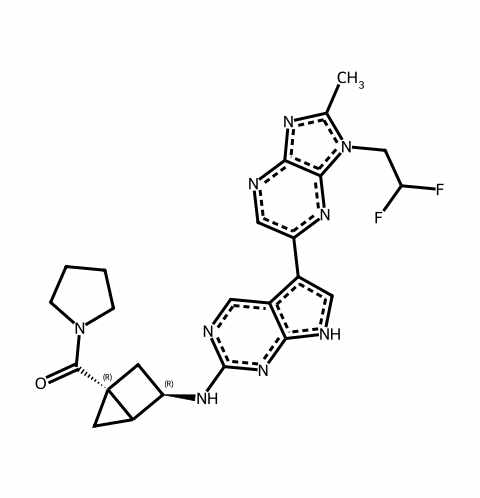 Cc1nc2ncc(-c3c[nH]c4nc(N[C@@H]5C[C@]6(C(=O)N7CCCC7)CC56)ncc34)nc2n1CC(F)F